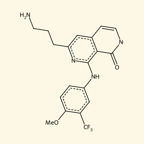 COc1ccc(Nc2nc(CCCN)cc3c2C(=O)[N]C=C3)cc1C(F)(F)F